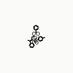 Cc1ccc(S(=O)(=O)n2c(CCOC(=O)c3ccccc3)c(C)c3ccccc32)cc1